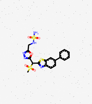 CS(=O)(=O)C(c1nnc(CNS(N)(=O)=O)o1)c1nc2ccc(-c3ccccc3)cc2s1